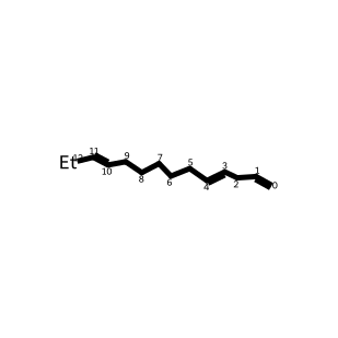 C=CCC=CCCCCCC=CCC